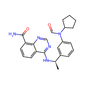 C[C@@H](Nc1ncnc2c(C(N)=O)cccc12)c1cccc(N(C=O)C2CCCC2)c1